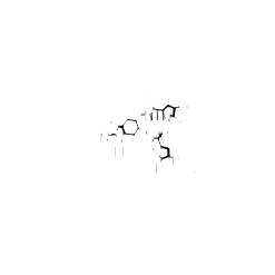 Bc1cc(C(=O)NC[C@@H]2Cc3[nH]c(N)nc3C[C@H]2CNC(=O)c2cc(Br)c(Br)[nH]2)[nH]c1B